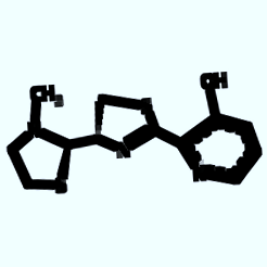 CN1CCS[C@@H]1[C@@H]1CSC(c2ncccc2O)=N1